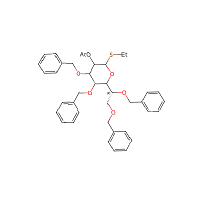 CCSC1OC([C@@H](COCc2ccccc2)OCc2ccccc2)C(OCc2ccccc2)C(OCc2ccccc2)C1OC(C)=O